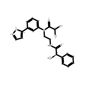 N[C@@H](C(=O)NCCN(C(=O)C(Cl)Cl)c1cccc(-c2ccno2)c1)c1ccccc1